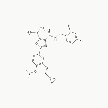 CC(N)c1oc(-c2ccc(OC(F)F)c(OCC3CC3)c2)nc1C(=O)NCc1ccc(F)cc1F